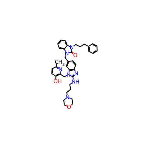 Cc1ccc(O)c(Cn2c(NCCCN3CCOCC3)nc3ccc(Cn4c(=O)n(CCCc5ccccc5)c5ccccc54)cc32)n1